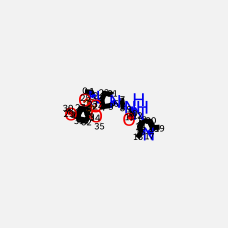 CCN(C1CCN(CCNC(=O)Nc2cc(C)nc(C)c2)CC1)S(=O)(=O)c1cc(OC)ccc1OC